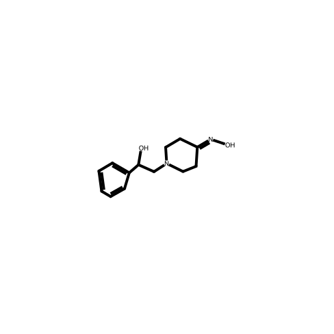 ON=C1CCN(CC(O)c2ccccc2)CC1